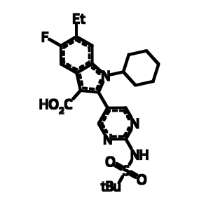 CCc1cc2c(cc1F)c(C(=O)O)c(-c1cnc(NS(=O)(=O)C(C)(C)C)nc1)n2C1CCCCC1